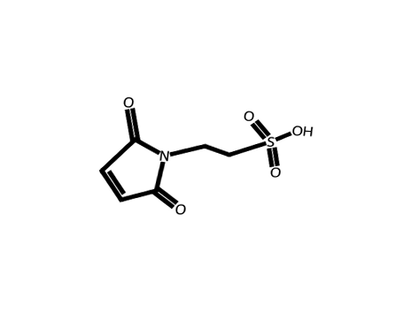 O=C1C=CC(=O)N1CCS(=O)(=O)O